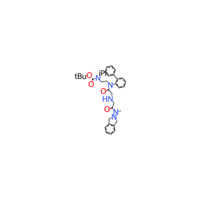 CC(C)N(CCN(C(=O)CNCC(=O)N(C)N1Cc2ccccc2C1)c1ccccc1-c1ccccc1)C(=O)OC(C)(C)C